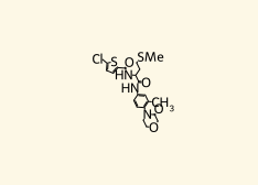 CSCCC(NC(=O)c1ccc(Cl)s1)C(=O)Nc1ccc(N2CCOCC2=O)c(C)c1